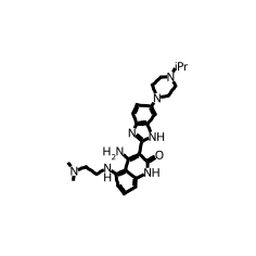 CC(C)N1CCN(c2ccc3nc(-c4c(N)c5c(NCCN(C)C)cccc5[nH]c4=O)[nH]c3c2)CC1